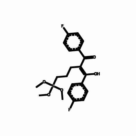 CO[Si](CCC/C(C(=O)c1ccc(F)cc1)=C(/O)c1ccc(F)cc1)(OC)OC